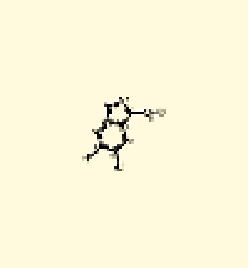 O=Cc1ncn2cc(F)c(Cl)cc12